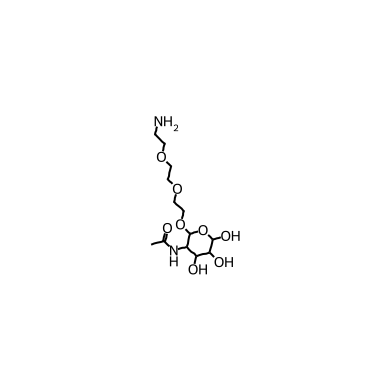 CC(=O)NC1C(OCCOCCOCCN)OC(O)C(O)C1O